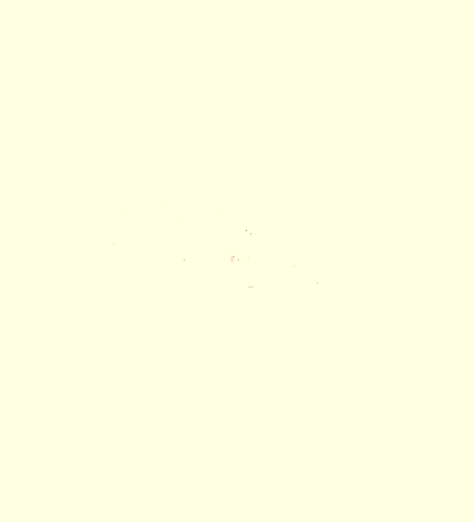 CN(Cc1ccccc1)Nc1ccccc1